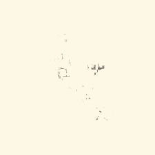 CNC.Cc1c(OCC2CC2)ccc2c(CCC3CCN(CCN4CCCC4=O)CC3)noc12.Cl.Cl